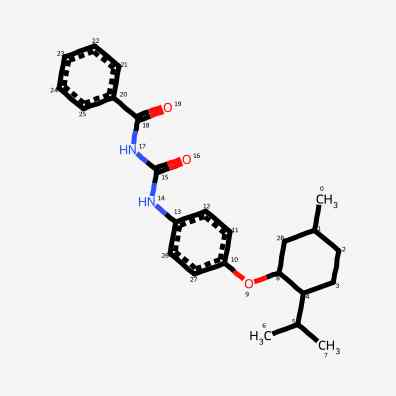 CC1CCC(C(C)C)C(Oc2ccc(NC(=O)NC(=O)c3ccccc3)cc2)C1